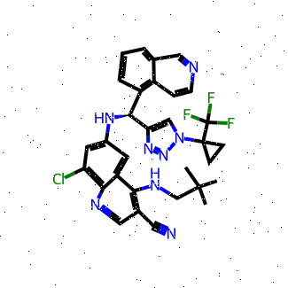 CC(C)(C)CNc1c(C#N)cnc2c(Cl)cc(N[C@H](c3cn(C4(C(F)(F)F)CC4)nn3)c3cccc4cnccc34)cc12